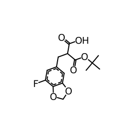 CC(C)(C)OC(=O)C(Cc1cc(F)c2c(c1)OCO2)C(=O)O